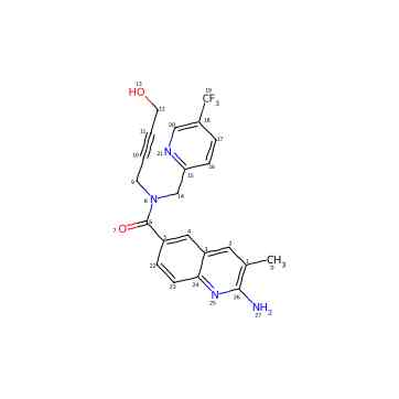 Cc1cc2cc(C(=O)N(CC#CCO)Cc3ccc(C(F)(F)F)cn3)ccc2nc1N